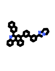 c1cc(-c2cccc(-c3cc4c(-c5ccc6ccccc6c5)nc5ccccc5c4c4ccccc34)c2)cc(-c2cn3ccccc3n2)c1